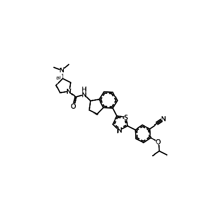 CC(C)Oc1ccc(-c2ncc(-c3cccc4c3CCC4NC(=O)N3CC[C@H](N(C)C)C3)s2)cc1C#N